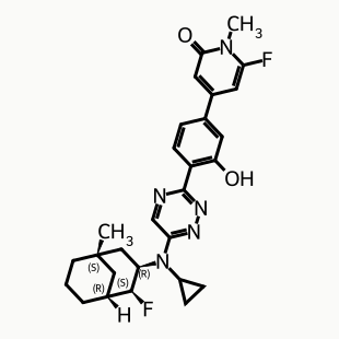 Cn1c(F)cc(-c2ccc(-c3ncc(N(C4CC4)[C@@H]4C[C@@]5(C)CCC[C@H](C5)[C@@H]4F)nn3)c(O)c2)cc1=O